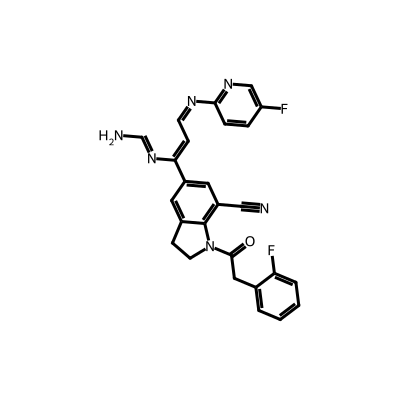 N#Cc1cc(C(=C/C=N\c2ccc(F)cn2)/N=C/N)cc2c1N(C(=O)Cc1ccccc1F)CC2